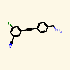 N#Cc1cc(F)cc(C#Cc2ccc(CN)cc2)c1